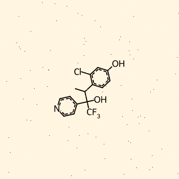 CC(c1ccc(O)cc1Cl)C(O)(c1ccncc1)C(F)(F)F